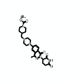 Cc1nn(C2CCC(=O)NC2=O)c(=O)c2ccc(N3CCN(CC4CCN(C(=O)OC(C)(C)C)CC4)CC3)cc12